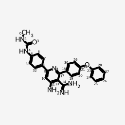 CNC(=O)Nc1ccc(-c2cc(N)c(C(=N)N)c(-c3ccc(Oc4ccccc4)cc3)n2)cc1